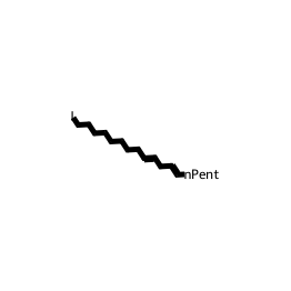 CCCCCC=CCC=CCCCCCCCCI